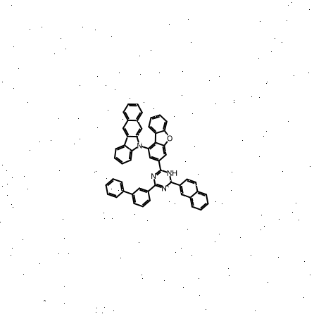 c1ccc(-c2cccc(C3=NC(c4ccc5ccccc5c4)NC(c4cc(-n5c6ccccc6c6cc7ccccc7cc65)c5c(c4)oc4ccccc45)=N3)c2)cc1